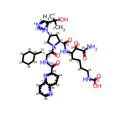 CC(C)(O)c1cnnn1[C@H]1C[C@@H](C(=O)NC(CCCCNC(=O)O)C(=O)C(N)=O)N(C(=O)[C@@H](CC2CCCCC2)NC(=O)c2ccc3ncccc3n2)C1